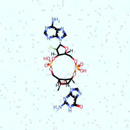 C[C@H]1[C@@H]2COP(=O)(O)O[C@H]3[C@@H](F)[C@H](n4cnc5c(N)ncnc54)O[C@@H]3COP(=O)(O)O[C@@](C)([C@@H]2O)[C@@H]1n1cnc2c(=O)[nH]c(N)nc21